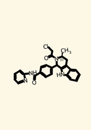 C[C@H]1Cc2c([nH]c3ccccc23)C(c2ccc(C(=O)Nc3ccccn3)cc2)N1C(=O)CCl